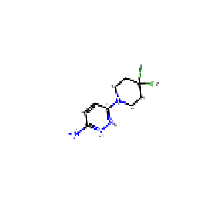 Nc1ccc(N2CCC(F)(F)CC2)nn1